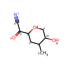 CC1CC(C(=O)C#N)OCC1O